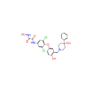 O=C(NO)C(=O)Nc1cc(Cl)c(Oc2ccc(O)c(CN3CCC(O)(c4ccccc4)CC3)c2)c(Cl)c1